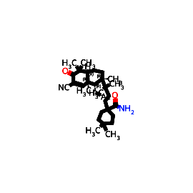 CC(=O)C[C@@H]1[C@@]2(C)C=C(C#N)C(=O)C(C)(C)[C@@H]2CC[C@@]1(C)C(C)(C)CCC1(C(N)=O)CCC(C)(C)CC1